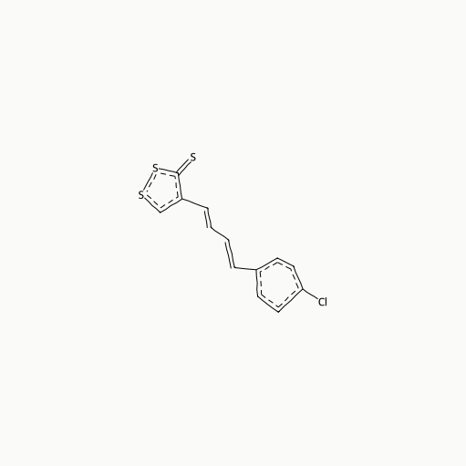 S=c1sscc1/C=C/C=C/c1ccc(Cl)cc1